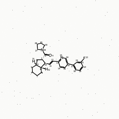 O=C([C@H]1C[C@H]2CCCC[C@H]2[C@@H]1/C=C/c1ccc(-c2cccc(F)c2)cn1)N1CCCC1